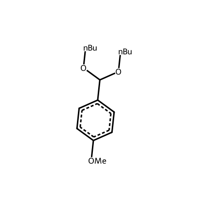 CCCCOC(OCCCC)c1ccc(OC)cc1